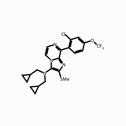 CSc1nc2c(-c3ccc(OC(F)(F)F)cc3Cl)nccn2c1N(CC1CC1)CC1CC1